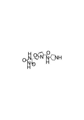 O=C1NC(=O)[C@@H](c2cc3nc(C(=O)NC4CCNCC4)ccc3o2)N1